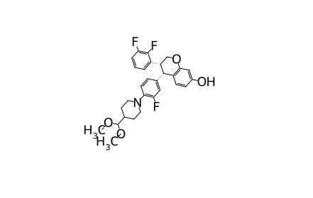 COC(OC)C1CCN(c2ccc([C@H]3c4ccc(O)cc4OC[C@H]3c3cccc(F)c3F)cc2F)CC1